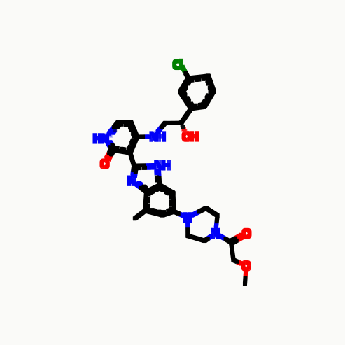 COCC(=O)N1CCN(c2cc(C)c3nc(-c4c(NC[C@@H](O)c5cccc(Cl)c5)cc[nH]c4=O)[nH]c3c2)CC1